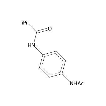 CC(=O)Nc1ccc(NC(=O)C(C)C)cc1